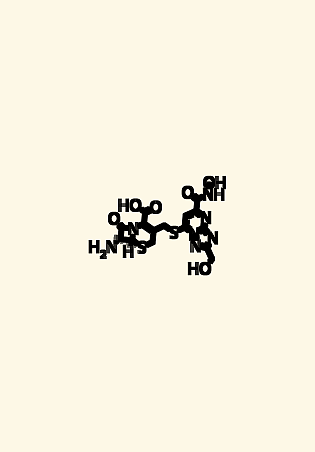 N[C@@H]1C(=O)N2C(C(=O)O)=C(CSc3cc(C(=O)NO)nc4nc(CO)nn34)CS[C@H]12